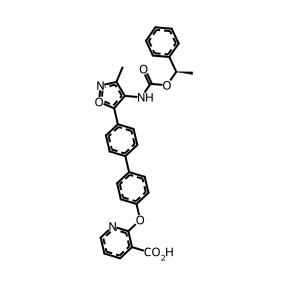 Cc1noc(-c2ccc(-c3ccc(Oc4ncccc4C(=O)O)cc3)cc2)c1NC(=O)O[C@H](C)c1ccccc1